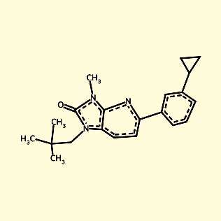 Cn1c(=O)n(CC(C)(C)C)c2ccc(-c3cccc(C4CC4)c3)nc21